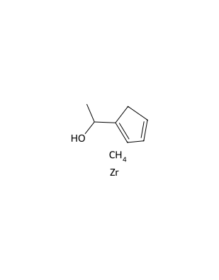 C.CC(O)C1=CC=CC1.[Zr]